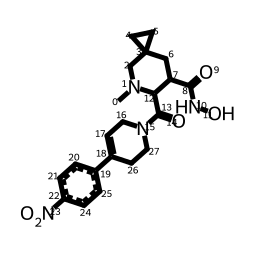 CN1CC2(CC2)CC(C(=O)NO)C1C(=O)N1CC=C(c2ccc([N+](=O)[O-])cc2)CC1